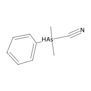 C[AsH](C)(C#N)c1ccccc1